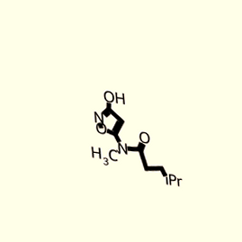 CC(C)CCC(=O)N(C)c1cc(O)no1